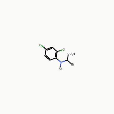 CCC(C(=O)O)N(C(C)=O)c1ccc(Cl)cc1Cl